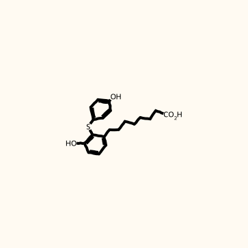 O=C(O)CCCCCCCc1cccc(O)c1Sc1ccc(O)cc1